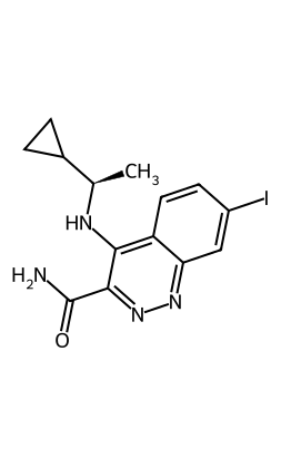 C[C@@H](Nc1c(C(N)=O)nnc2cc(I)ccc12)C1CC1